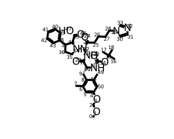 COCOc1cc(C)c(C[C@@H](NC(=O)OC(C)(C)C)C(=O)NN(C(=O)CCCCn2ccnc2)N2CCC(c3ccccc3)C2C(=O)O)c(C)c1